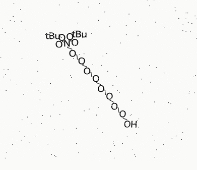 CC(C)(C)OC(=O)N(CCOCCOCCOCCOCCOCCOCCOCCOCCO)C(=O)OC(C)(C)C